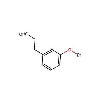 CCOc1cccc(CC[C]=O)c1